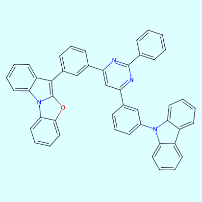 c1ccc(-c2nc(-c3cccc(-c4c5ccccc5n5c4oc4ccccc45)c3)cc(-c3cccc(-n4c5ccccc5c5ccccc54)c3)n2)cc1